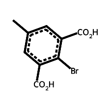 Cc1cc(C(=O)O)c(Br)c(C(=O)O)c1